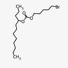 CCCCCCCCC(CCC)OC(=O)OCCCCCBr